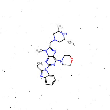 CCc1nc2ccccc2n1-c1nc(N2CCOCC2)c2nc(CN3C[C@@H](C)N[C@@H](C)C3)n(C)c2n1